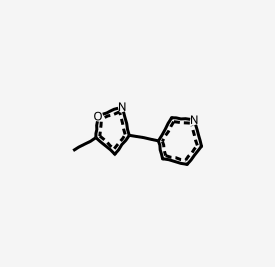 Cc1cc(-c2cccnc2)no1